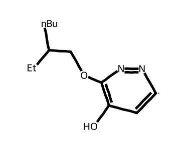 CCCCC(CC)COc1nn[c]cc1O